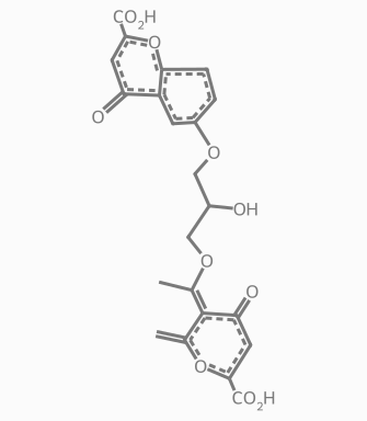 C=c1oc(C(=O)O)cc(=O)/c1=C(/C)OCC(O)COc1ccc2oc(C(=O)O)cc(=O)c2c1